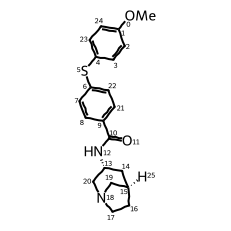 COc1ccc(Sc2ccc(C(=O)N[C@@H]3C[C@H]4CCN(C4)C3)cc2)cc1